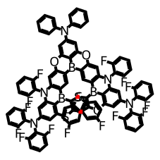 Fc1ccc2sc3c(c2c1)Oc1cc(N(c2c(F)cccc2F)c2c(F)cccc2F)cc2c1B3c1cc3c(cc1N2c1c(F)cccc1F)Oc1cc(N(c2ccccc2)c2ccccc2)cc2c1B3c1cc3c(cc1O2)N(c1c(F)cccc1F)c1cc(N(c2c(F)cccc2F)c2c(F)cccc2F)cc2c1B3c1sc3ccc(F)cc3c1S2